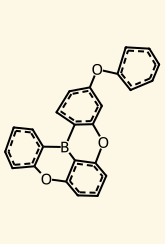 c1ccc(Oc2ccc3c(c2)Oc2cccc4c2B3c2ccccc2O4)cc1